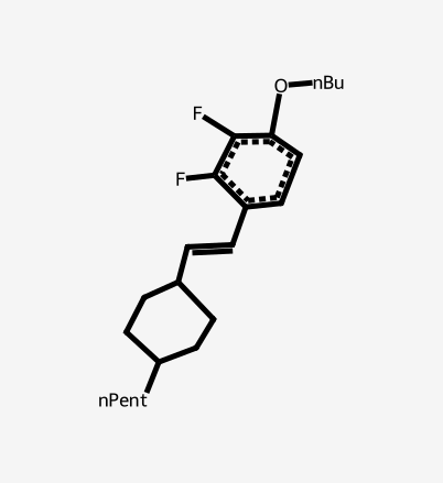 CCCCCC1CCC(C=Cc2ccc(OCCCC)c(F)c2F)CC1